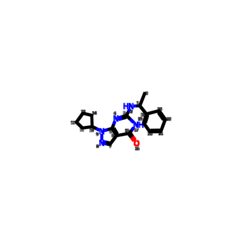 CC(Nc1nc2c(cnn2C2CCCC2)c(=O)[nH]1)c1ccccc1